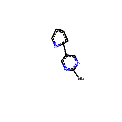 CCCCc1ncc(-c2ccccn2)cn1